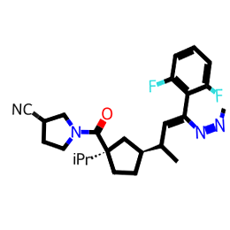 C/N=N\C(=C/C(C)[C@H]1CC[C@](C(=O)N2CCC(C#N)C2)(C(C)C)C1)c1c(F)cccc1F